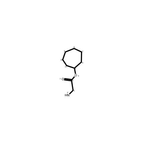 [NH]CC(=O)OC1CCCCCC1